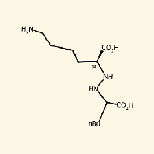 CCCCC(NN[C@@H](CCCCN)C(=O)O)C(=O)O